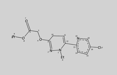 CCN1N=C(OCC(=O)OC(C)C)CC=C1c1ccc(Cl)cn1